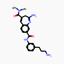 CCCN(CCC)C(=O)C1=Cc2ccc(C(=O)Nc3cccc(CCCN)c3)cc2N=C(N)C1